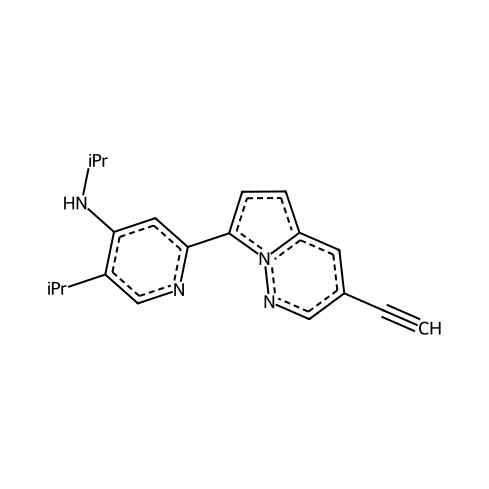 C#Cc1cnn2c(-c3cc(NC(C)C)c(C(C)C)cn3)ccc2c1